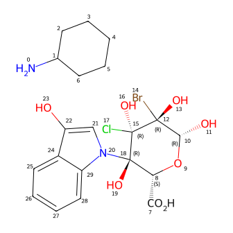 NC1CCCCC1.O=C(O)[C@H]1O[C@@H](O)[C@@](O)(Br)[C@](O)(Cl)[C@@]1(O)n1cc(O)c2ccccc21